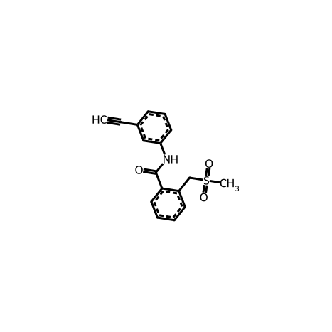 C#Cc1cccc(NC(=O)c2ccccc2CS(C)(=O)=O)c1